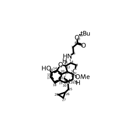 CO[C@@]12CC[C@@H](NCCC(=O)OC(C)(C)C)[C@@H]3Oc4c(O)ccc5c4[C@@]31CCN(CC1CC1)[C@@H]2C5